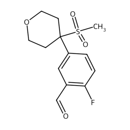 CS(=O)(=O)C1(c2ccc(F)c(C=O)c2)CCOCC1